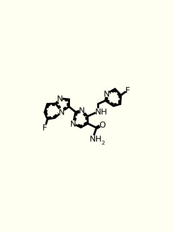 NC(=O)c1cnc(-c2cnc3ccc(F)cn23)nc1NCc1ccc(F)cn1